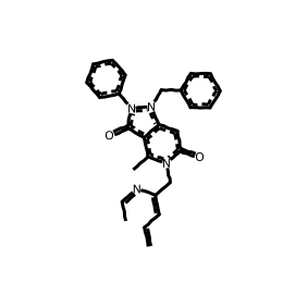 C=C/C=C(Cn1c(C)c2c(=O)n(-c3ccccc3)n(Cc3ccccc3)c2cc1=O)\N=C/C